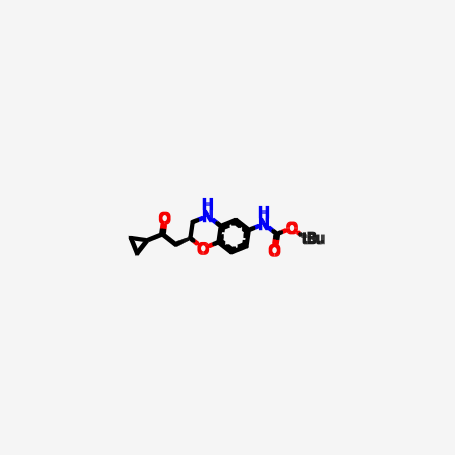 CC(C)(C)OC(=O)Nc1ccc2c(c1)NC[C@H](CC(=O)C1CC1)O2